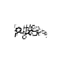 COc1c2n(cc(C(=O)NCc3ccc(F)cc3F)c1=O)CCC(C)(C)C2=O